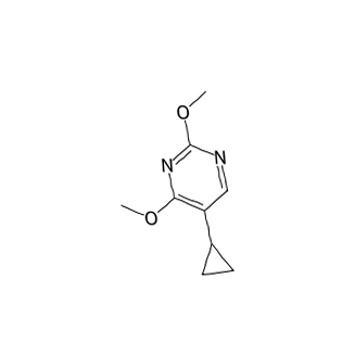 COc1ncc(C2CC2)c(OC)n1